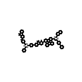 CC1C2=C(C=CC1C1C=CC3=C(C1)C1(c4cc(-c5cc(-c6ccc(-c7ccccc7)cc6)nc(-c6ccc7ccccc7c6)n5)ccc43)c3ccccc3-c3ccccc31)c1ccc(-c3ccc(-c4nc(C5=CCC(C)(c6ccc7c(c6)C(C)(C)c6ccccc6-7)C=C5)nc(-c5ccccc5)n4)cc3)cc1C2(C)C